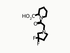 O=C(O)C1CCCCN1C(=O)CN1CCC(F)(F)C1